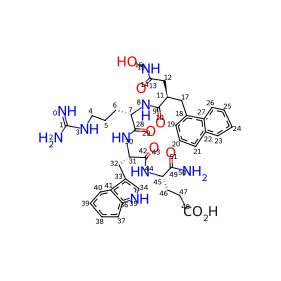 N=C(N)NCCC[C@H](NC(=O)[C@@H](CC(=O)NO)Cc1cccc2ccccc12)C(=O)N[C@@H](Cc1c[nH]c2ccccc12)C(=O)N[C@@H](CCC(=O)O)C(N)=O